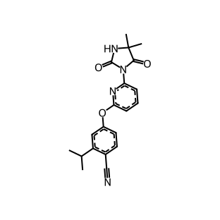 CC(C)c1cc(Oc2cccc(N3C(=O)NC(C)(C)C3=O)n2)ccc1C#N